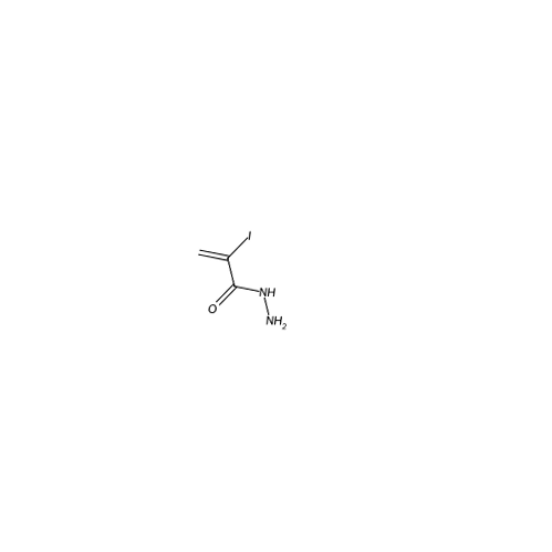 C=C(I)C(=O)NN